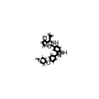 CN1CCC(Oc2ccc(-c3n[nH]c4ccc(C(=O)N[C@H](c5sccc5Cl)C5CC5)cc34)cc2)CC1